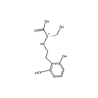 O=C(O)[C@H](CS)NCCc1c(O)cccc1O